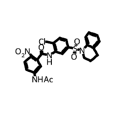 CC(=O)Nc1ccc([N+](=O)[O-])c(C(=O)Nc2cc(S(=O)(=O)N3CCCc4ccccc43)ccc2Cl)c1